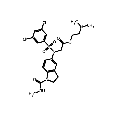 CNC(=O)N1CCc2cc(N(CC(=O)OCCN(C)C)S(=O)(=O)c3cc(Cl)cc(Cl)c3)ccc21